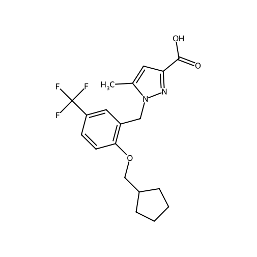 Cc1cc(C(=O)O)nn1Cc1cc(C(F)(F)F)ccc1OCC1CCCC1